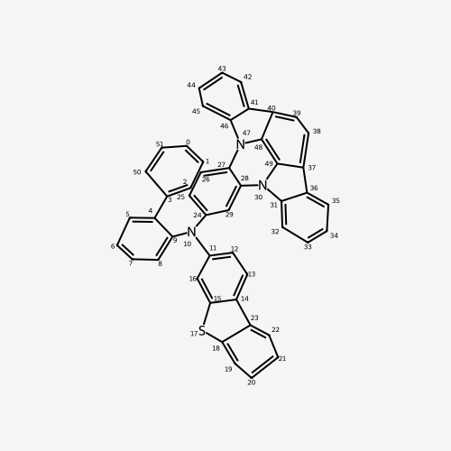 c1ccc(-c2ccccc2N(c2ccc3c(c2)sc2ccccc23)c2ccc3c(c2)n2c4ccccc4c4ccc5c6ccccc6n3c5c42)cc1